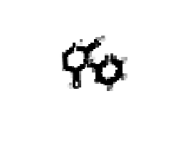 O=C1CCSC(=S)N1c1ccccn1